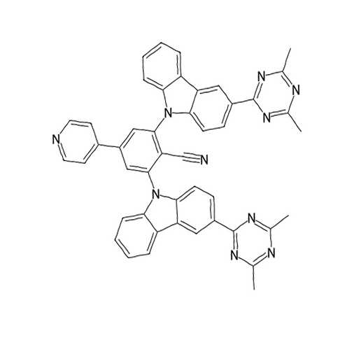 Cc1nc(C)nc(-c2ccc3c(c2)c2ccccc2n3-c2cc(-c3ccncc3)cc(-n3c4ccccc4c4cc(-c5nc(C)nc(C)n5)ccc43)c2C#N)n1